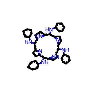 C1=Cc2nc1c(Nc1ccccc1)c1ccc([nH]1)c(Nc1ccccc1)c1nc(c(Nc3ccccc3)c3ccc([nH]3)c2Nc2ccccc2)C=C1